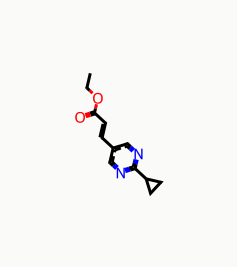 CCOC(=O)C=Cc1cnc(C2CC2)nc1